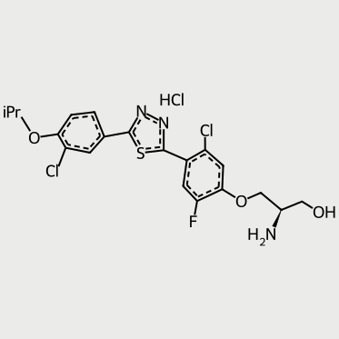 CC(C)Oc1ccc(-c2nnc(-c3cc(F)c(OC[C@H](N)CO)cc3Cl)s2)cc1Cl.Cl